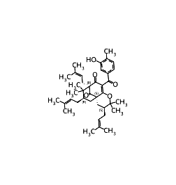 CC(C)=CC[C@H]1C[C@@]23C[C@@H](CC=C(C)C)C(C)(C)[C@@](CC=C(C)C)(C(=O)C(C(=O)c4ccc(C)c(O)c4)=C2OC1(C)C)C3=O